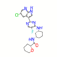 O=C(N[C@H]1CCC[C@@H](Nc2nc(-c3c[nH]c4ncc(Cl)cc34)ncc2F)C1)C1CCCCO1